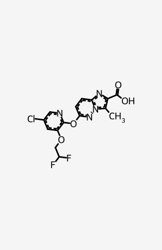 Cc1c(C(=O)O)nc2ccc(Oc3ncc(Cl)cc3OCC(F)F)nn12